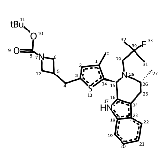 Cc1cc(CC2CN(C(=O)OC(C)(C)C)C2)sc1[C@@H]1c2[nH]c3ccccc3c2C[C@@H](C)N1CC(C)(C)F